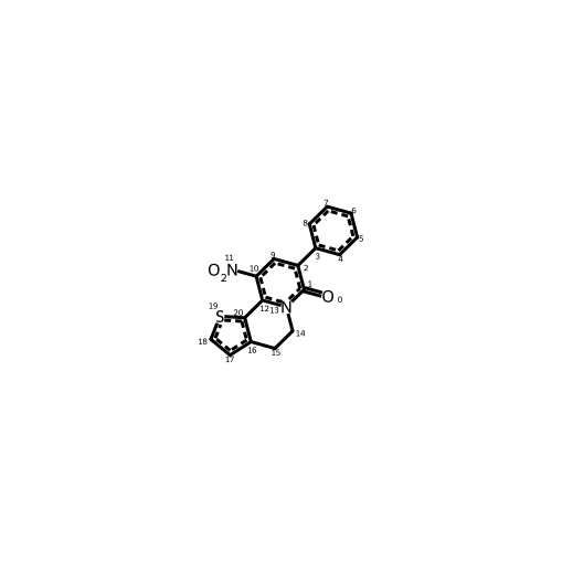 O=c1c(-c2ccccc2)cc([N+](=O)[O-])c2n1CCc1ccsc1-2